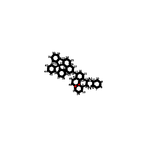 c1ccc(-c2nc3ccccc3nc2-c2ccc(-c3ccc4c5c(ccc4c3)-c3ccccc3C5(c3ccccc3)c3ccccc3)c3ccccc23)cc1